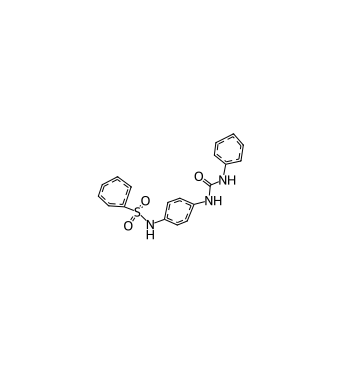 O=C(Nc1ccccc1)Nc1ccc(NS(=O)(=O)c2ccccc2)cc1